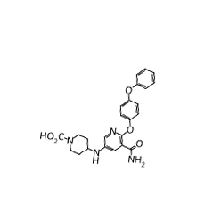 NC(=O)c1cc(NC2CCN(C(=O)O)CC2)cnc1Oc1ccc(Oc2ccccc2)cc1